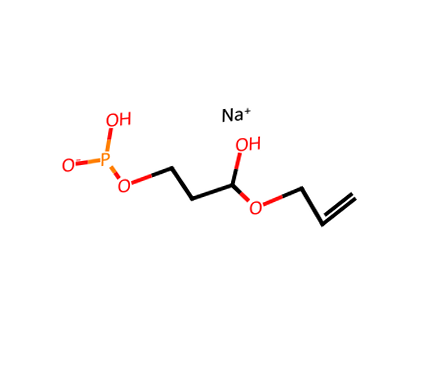 C=CCOC(O)CCOP([O-])O.[Na+]